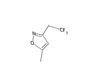 Cc1cc(CC(F)(F)F)no1